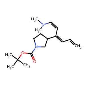 C=C/C=C(\C=C/N(C)C)C1CCN(C(=O)OC(C)(C)C)C1